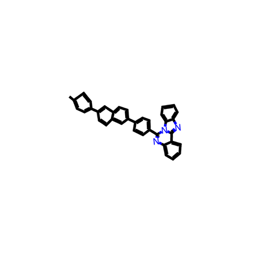 Cc1ccc(-c2ccc3cc(-c4ccc(-c5nc6ccccc6c6nc7ccccc7n56)cc4)ccc3c2)cc1